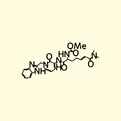 COC(=O)NC(CCC=CC(=O)N(C)C)C(=O)Nc1cccn(Cc2nc3ccccc3[nH]2)c1=O